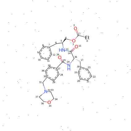 CCC(=O)OC[C@H](Cc1ccccc1)NC(=O)[C@H](Cc1ccccc1)NC(=O)c1ccc(CN2CCOCC2)cc1